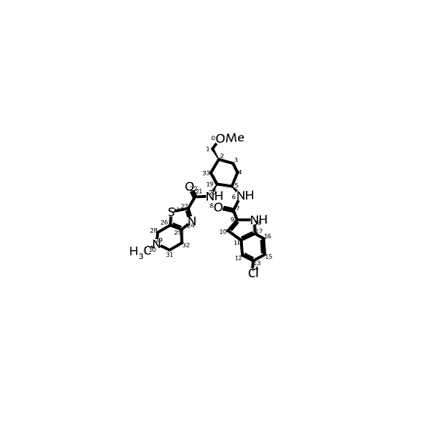 COC[C@H]1CC[C@@H](NC(=O)c2cc3cc(Cl)ccc3[nH]2)[C@@H](NC(=O)c2nc3c(s2)CN(C)CC3)C1